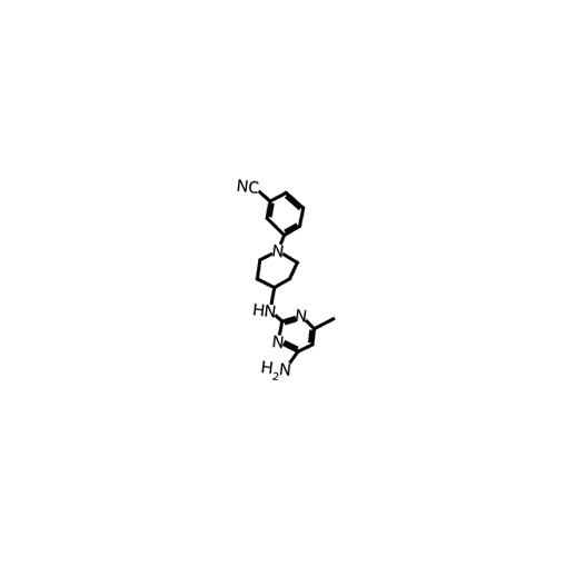 Cc1cc(N)nc(NC2CCN(c3cccc(C#N)c3)CC2)n1